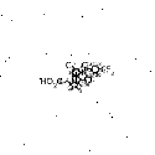 O=C(O)CCC(=O)NC1(C2c3ccc(Cl)cc3N(C(=O)c3ccc(C(F)(F)F)cc3)C3CCCC32)CCC1